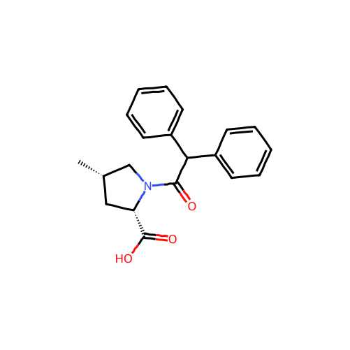 C[C@H]1C[C@@H](C(=O)O)N(C(=O)C(c2ccccc2)c2ccccc2)C1